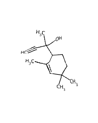 C#CC(C)(O)C1CCC(C)(C)C=C1C